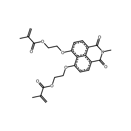 C=C(C)C(=O)OCCOc1ccc2c3c(ccc(OCCOC(=O)C(=C)C)c13)C(=O)N(C)C2=O